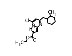 CCOC(=O)c1cc2nc(CC3CCCCC3C)cc(Cl)n2n1